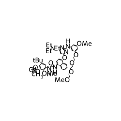 CCN(CC)CC.COCCOCCOCCOc1cc(Nc2nccc(Oc3ccc(NC(=O)Nc4cc(C(C)(C)C)cc(OS(C)(=O)=O)c4OC)c4ccccc34)n2)cc(OC)c1